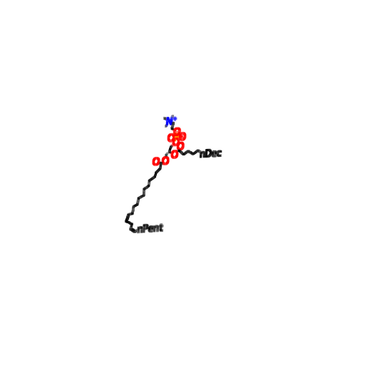 CCCCC/C=C\C/C=C\CCCCCCCCCCCC(=O)OC[C@H](COP(=O)([O-])OCC[N+](C)(C)C)OC(=O)CCCCCCCCCCCCCC